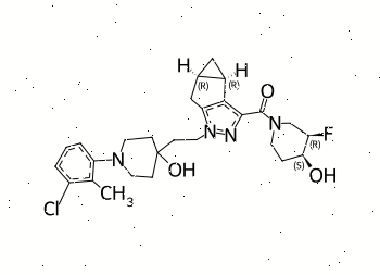 Cc1c(Cl)cccc1N1CCC(O)(CCn2nc(C(=O)N3CC[C@H](O)[C@H](F)C3)c3c2C[C@H]2C[C@@H]32)CC1